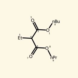 CCCCOC(=O)C(CC)C(=O)OCCC